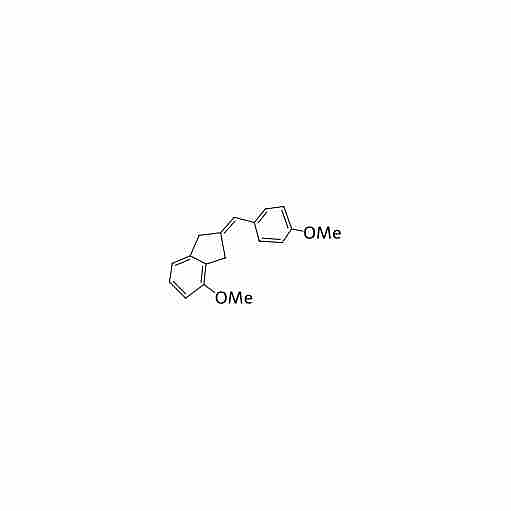 COc1ccc(C=C2Cc3cccc(OC)c3C2)cc1